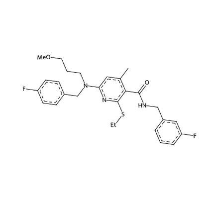 CCSc1nc(N(CCCOC)Cc2ccc(F)cc2)cc(C)c1C(=O)NCc1cccc(F)c1